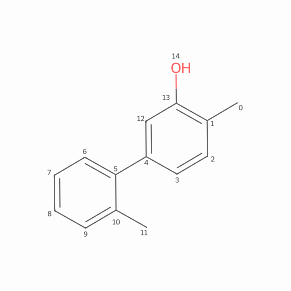 Cc1ccc(-c2ccccc2C)cc1O